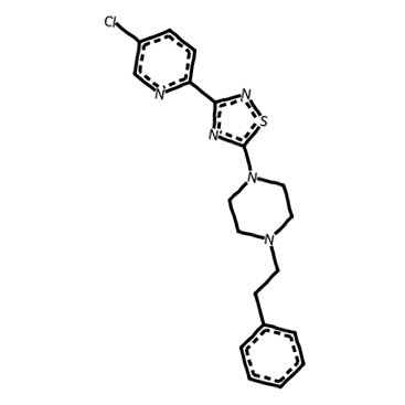 Clc1ccc(-c2nsc(N3CCN(CCc4ccccc4)CC3)n2)nc1